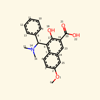 COc1ccc2c(C(c3ccccc3)N(C)C)c(O)c(C(=O)O)cc2c1